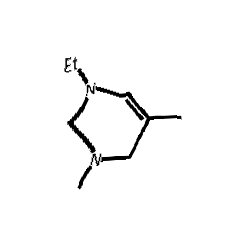 CCN1C=C(C)CN(C)C1